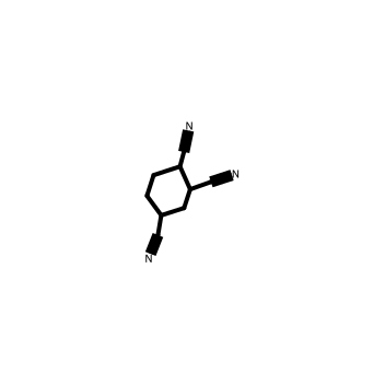 N#CC1CCC(C#N)C(C#N)C1